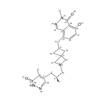 Cc1c(C[C@H](C)CN2CC3(CC(Cc4ccc(Cl)c5c(=O)n(C)ncc45)C3)C2)cn[nH]c1=O